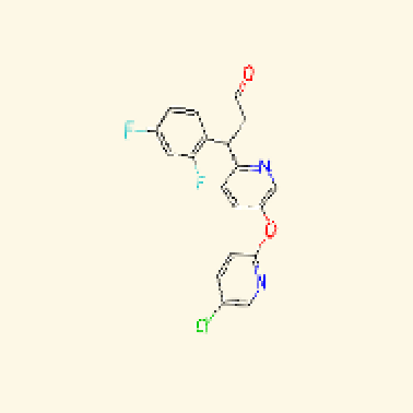 O=CCC(c1ccc(Oc2ccc(Cl)cn2)cn1)c1ccc(F)cc1F